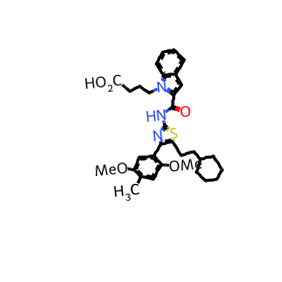 COc1cc(-c2nc(NC(=O)c3cc4ccccc4n3CCCC(=O)O)sc2CCC2CCCCC2)c(OC)cc1C